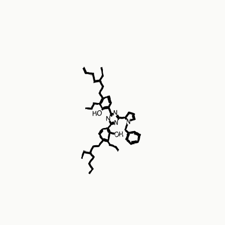 CCCCC(CC)CCc1ccc(-c2nc(-c3ccc(CCC(CC)CCCC)c(CCC)c3O)nc(-c3cccn3Cc3ccccc3)n2)c(O)c1CCC